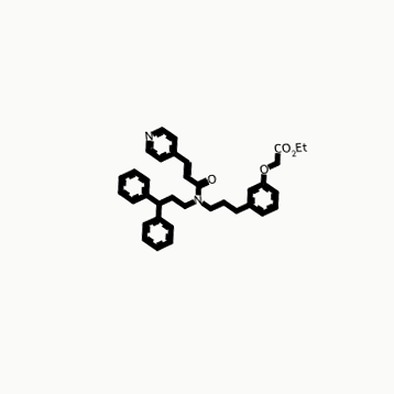 CCOC(=O)COc1cccc(CCCN(CCC(c2ccccc2)c2ccccc2)C(=O)/C=C/c2ccncc2)c1